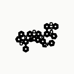 c1ccc(-c2ccc(N(c3ccccc3)c3ccc4c(c3)C3(c5cc(N(c6cc(-c7cccc8c7Sc7ccccc7O8)c7oc8ccccc8c7c6)c6ccc7ccn(-c8ccccc8)c7c6)ccc5O4)c4ccccc4-c4ccccc43)c3c2oc2ccccc23)cc1